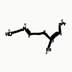 CCCC=C(CC)CC=NO